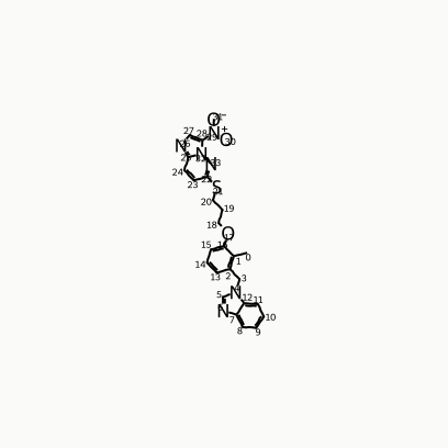 Cc1c(Cn2cnc3ccccc32)cccc1OCCCSc1ccc2ncc([N+](=O)[O-])n2n1